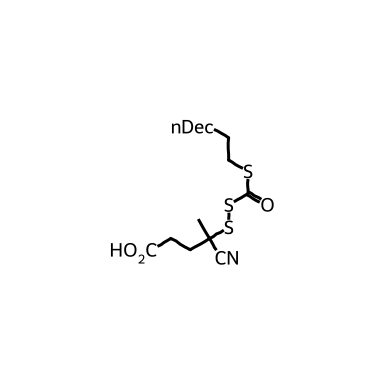 CCCCCCCCCCCCSC(=O)SSC(C)(C#N)CCC(=O)O